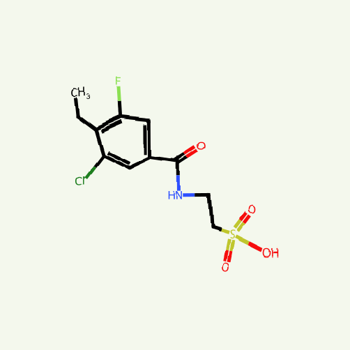 CCc1c(F)cc(C(=O)NCCS(=O)(=O)O)cc1Cl